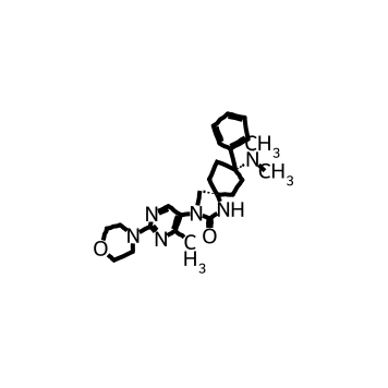 Cc1nc(N2CCOCC2)ncc1N1C[C@]2(CC[C@@](c3ccccc3)(N(C)C)CC2)NC1=O